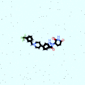 O=C1CCC(n2[nH]c3cc(C4CCN(Cc5cccc(C(F)(F)F)c5)CC4)ccc3c2=O)C(=O)N1